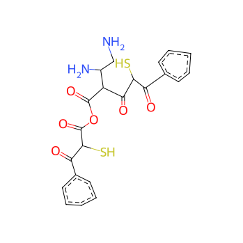 NCC(N)C(C(=O)OC(=O)C(S)C(=O)c1ccccc1)C(=O)C(S)C(=O)c1ccccc1